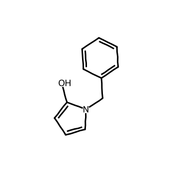 Oc1cccn1Cc1ccccc1